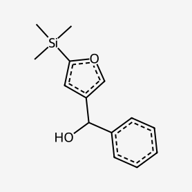 C[Si](C)(C)c1cc(C(O)c2ccccc2)co1